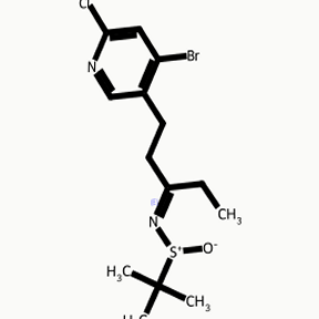 CC/C(CCc1cnc(Cl)cc1Br)=N\[S+]([O-])C(C)(C)C